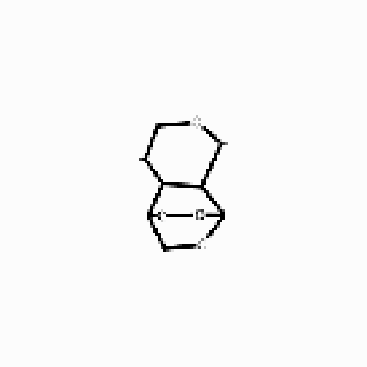 [CH]1CO[CH]C2C3OCC(CO3)C12